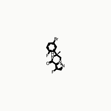 C[C@@]1(c2cc(Br)ccc2F)Cn2ncc(F)c2C(=O)N1